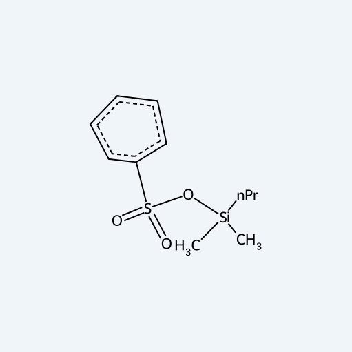 CCC[Si](C)(C)OS(=O)(=O)c1ccccc1